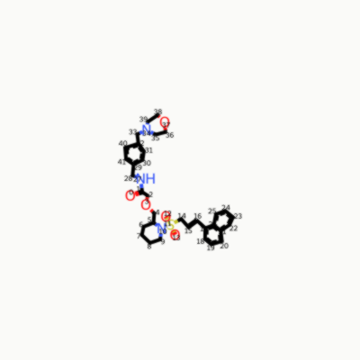 O=C(COCC1CCCCN1S(=O)(=O)CC=Cc1cccc2ccccc12)NCc1ccc(CN2CCOCC2)cc1